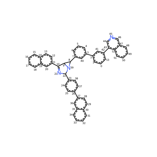 c1cc(-c2cccc(C3C4C(c5ccc6ccccc6c5)=NC(c5ccc(-c6ccc7ccccc7c6)cc5)N43)c2)cc(-c2cncc3ccccc23)c1